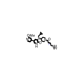 COc1cc(-c2c[nH]c(=O)c(N(CC3CC3)C3CCN(C(=O)/C=C/CNC(C)C)CC3)c2)ccn1